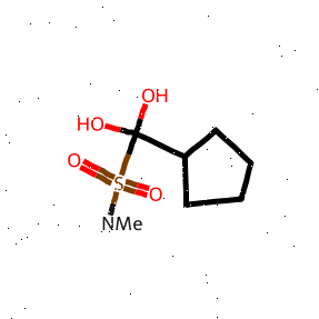 CNS(=O)(=O)C(O)(O)C1CCCC1